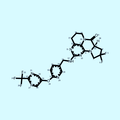 O=C1[C@@H]2CC(F)(F)CN2c2nc(NCc3ccc(Oc4cnc(C(F)(F)F)nc4)nc3)nc3c2N1CCC3